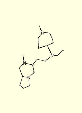 CCN(CCC1CN2CCCC2CN1C)C1CCN(C)CC1